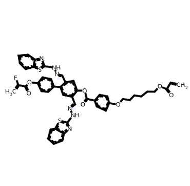 C=CC(=O)OCCCCCCOc1ccc(C(=O)Oc2cc(/C=N/Nc3nc4ccccc4s3)c(-c3ccc(OC(=O)C(=C)F)cc3)cc2/C=N/Nc2nc3ccccc3s2)cc1